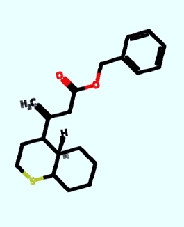 C=C(CC(=O)OCc1ccccc1)C1CCSC2CCCC[C@H]21